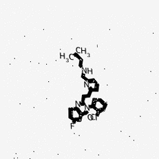 CC(C)CCNCc1cccc(CCc2nc3ccc(F)cc3c(=O)n2-c2ccccc2Cl)n1